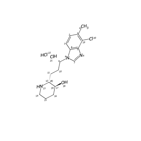 Cc1ccc2c(ncn2CCC[C@H]2NCCC[C@@H]2O)c1Cl.Cl.Cl